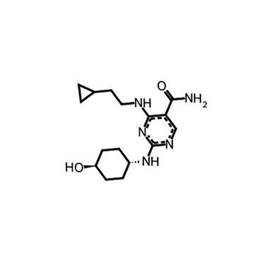 NC(=O)c1cnc(N[C@H]2CC[C@H](O)CC2)nc1NCCC1CC1